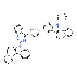 c1ccc(-n2c3ccc(-c4ccc(-c5nc(-n6c7ccccc7c7c8ccccc8ccc76)nc6ccccc56)cc4)cc3c3ccc4ccccc4c32)cc1